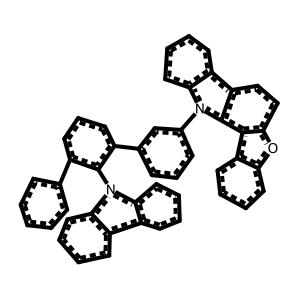 c1ccc(-c2cccc(-c3cccc(-n4c5ccccc5c5ccc6oc7ccccc7c6c54)c3)c2-n2c3ccccc3c3ccccc32)cc1